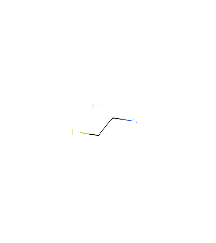 F.NCCS